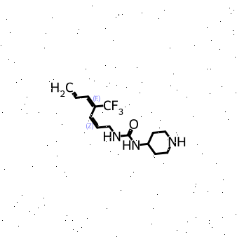 C=C/C=C(\C=C/CNC(=O)NC1CCNCC1)C(F)(F)F